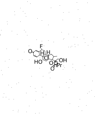 CCCC(=O)O[C@@]1(C(=O)CO)C(C)C[C@H]2[C@@H]3CC(F)C4=CC(=O)C=C[C@]4(C)[C@@]3(Cl)[C@@H](O)C[C@@]21C